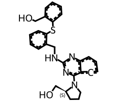 OCc1ccccc1Sc1ccccc1CNc1nc(N2CCC[C@H]2CO)c2ccccc2n1